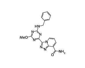 COc1nc(NCc2ccccc2)nc(-c2nnc3c(C(N)=O)cccn23)n1